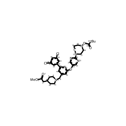 COC(=O)CC1CCN(Cc2cc(Oc3cnc(N4CCCN(OC(=O)C(C)(C)C)CC4)nc3)nc(-c3cc(Cl)cc(Cl)c3)c2)CC1